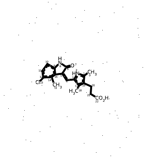 Cc1[nH]c(C=C2C(=O)Nc3ccc(Cl)c(C)c32)c(C)c1CCC(=O)O